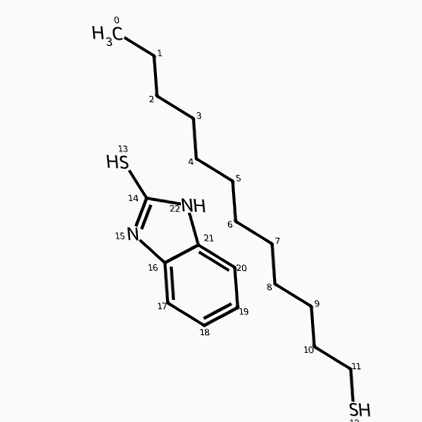 CCCCCCCCCCCCS.Sc1nc2ccccc2[nH]1